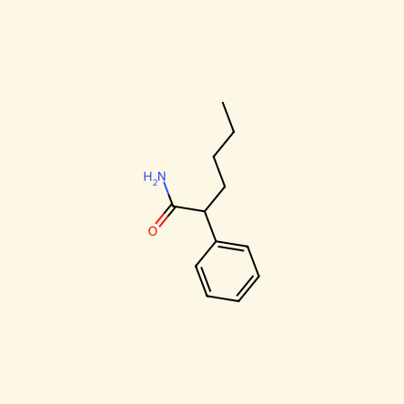 CCCCC(C(N)=O)c1ccccc1